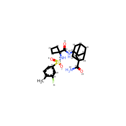 Cc1ccc(S(=O)(=O)NC2(C(=O)NC34CC5CC(C3)CC(C(N)=O)(C5)C4)CCC2)cc1F